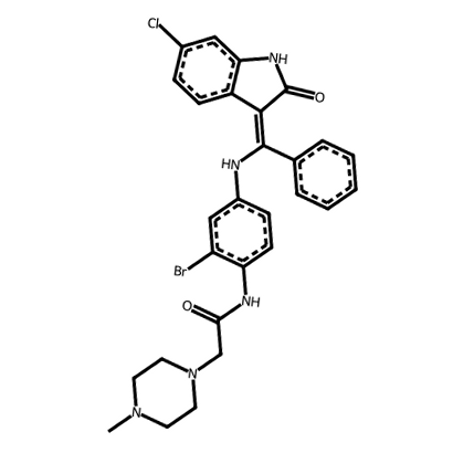 CN1CCN(CC(=O)Nc2ccc(NC(=C3C(=O)Nc4cc(Cl)ccc43)c3ccccc3)cc2Br)CC1